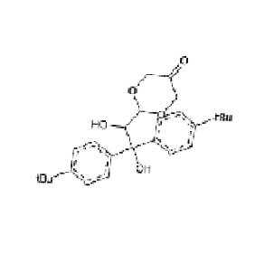 CC(C)(C)c1ccc(C(O)(c2ccc(C(C)(C)C)cc2)C(O)C2OCC(=O)CO2)cc1